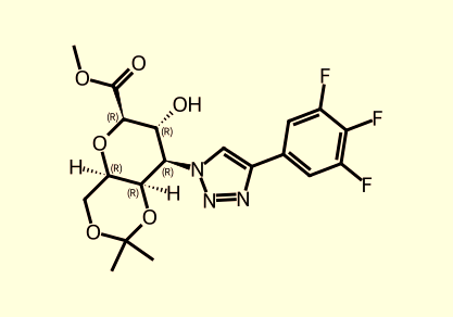 COC(=O)[C@@H]1O[C@@H]2COC(C)(C)O[C@@H]2[C@H](n2cc(-c3cc(F)c(F)c(F)c3)nn2)[C@H]1O